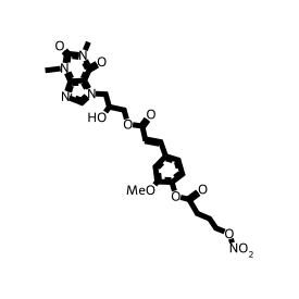 COc1cc(/C=C/C(=O)OCC(O)Cn2cnc3c2c(=O)n(C)c(=O)n3C)ccc1OC(=O)CCCO[N+](=O)[O-]